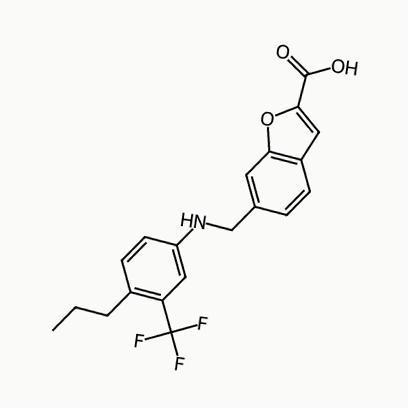 CCCc1ccc(NCc2ccc3cc(C(=O)O)oc3c2)cc1C(F)(F)F